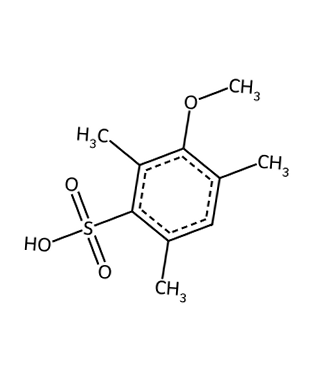 COc1c(C)cc(C)c(S(=O)(=O)O)c1C